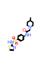 CC1CCN(CC(=O)Nc2ccc(S(=O)(=O)Nc3nccs3)cc2)CC1